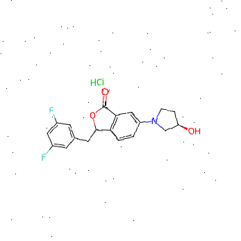 Cl.O=C1OC(Cc2cc(F)cc(F)c2)c2ccc(N3CC[C@@H](O)C3)cc21